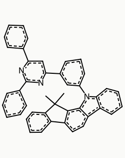 CC1(C)c2ccccc2-c2ccc3c4ccccc4n(-c4cccc(-c5cc(-c6ccccc6)nc(-c6ccccc6)n5)c4)c3c21